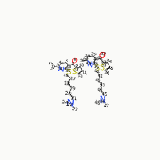 CC(C)c1ccc(C(=O)c2cccs2)c(SCCCCCCN(C)C)n1.Cc1ccc(C(=O)c2cccs2)c(SCCCCCCN(C)C)n1